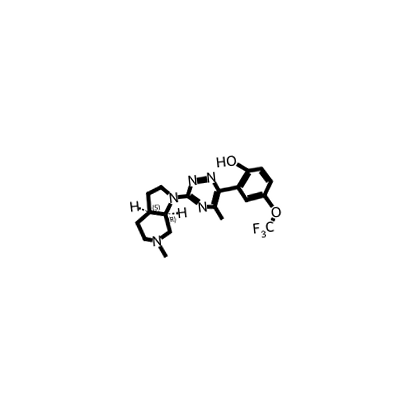 Cc1nc(N2CC[C@@H]3CCN(C)C[C@@H]32)nnc1-c1cc(OC(F)(F)F)ccc1O